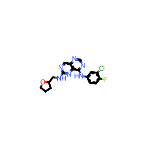 Fc1ccc(Nc2ncnc3cnc(NCC4CCCO4)nc23)cc1Cl